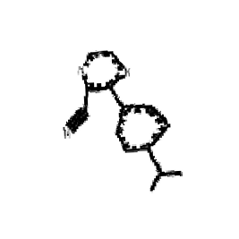 CC(C)c1ccc(-c2nccnc2C#N)cc1